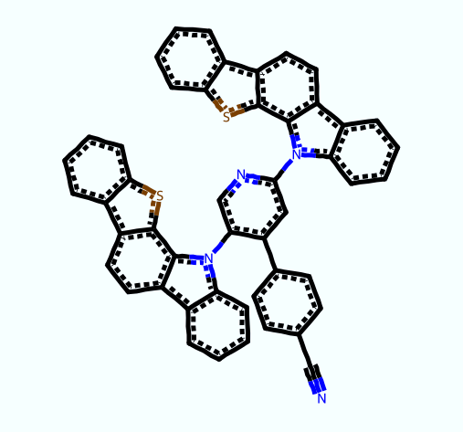 N#Cc1ccc(-c2cc(-n3c4ccccc4c4ccc5c6ccccc6sc5c43)ncc2-n2c3ccccc3c3ccc4c5ccccc5sc4c32)cc1